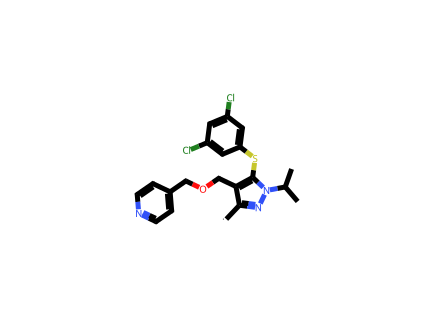 [CH2]c1nn(C(C)C)c(Sc2cc(Cl)cc(Cl)c2)c1COCc1ccncc1